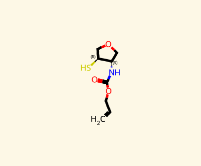 C=CCOC(=O)N[C@H]1COC[C@@H]1S